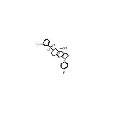 O=S(=O)(c1cccc(C(F)(F)F)c1)N1CCC2=Cc3c(cnn3-c3ccc(F)cc3)C[C@]2(CO)C1